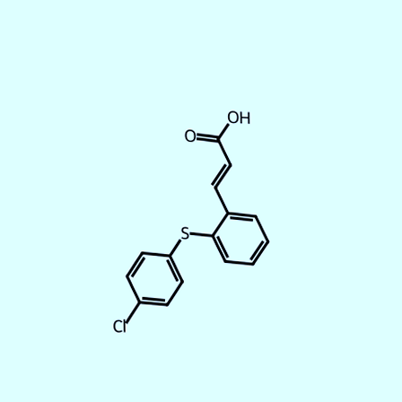 O=C(O)C=Cc1ccccc1Sc1ccc(Cl)cc1